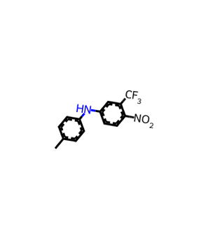 Cc1ccc(Nc2ccc([N+](=O)[O-])c(C(F)(F)F)c2)cc1